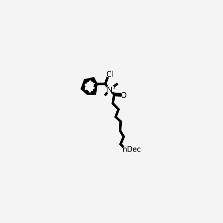 CCCCCCCCCCCCCCCCCC(=O)[N+](C)(C)C(Cl)c1ccccc1